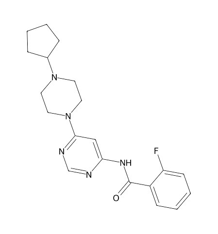 O=C(Nc1cc(N2CCN(C3CCCC3)CC2)ncn1)c1ccccc1F